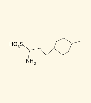 CC1CCC(CCC(N)S(=O)(=O)O)CC1